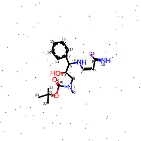 CN(CC(O)C(N/C=C\C(=N)I)c1ccccc1)C(=O)OC(C)(C)C